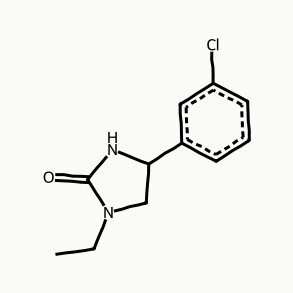 CCN1CC(c2cccc(Cl)c2)NC1=O